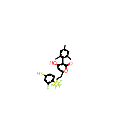 Cc1cc(C)c(-c2c(O)cc(CCS(F)(F)(F)(F)c3ccc(S)cc3F)oc2=O)c(C)c1